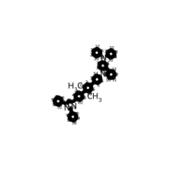 Cc1cc(-c2ccc(-n3c4ccccc4c4cc(N(c5ccccc5)c5ccccc5)ccc43)cc2)cc(C)c1-c1ccc(-c2cc(-c3ccccc3)nc(-c3ccccc3)n2)cc1